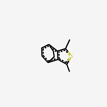 Cc1sc(C)c2c3ccc(c12)CC3